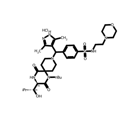 CCCCN1C(=O)[C@@H]([C@H](O)C(C)C)NC(=O)C12CCN(C(c1ccc(S(=O)(=O)NCCN3CCOCC3)cc1)c1c(C)n[nH]c1C)CC2.Cl